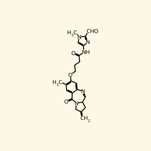 C=C1CC2C=Nc3cc(OCCCC(=O)Nc4cn(C)c(C=O)n4)c(C)cc3C(=O)N2C1